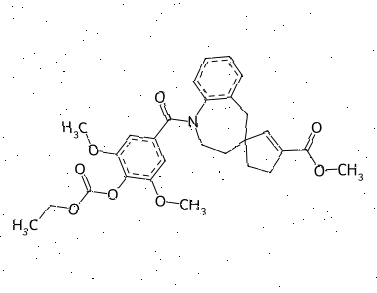 CCOC(=O)Oc1c(OC)cc(C(=O)N2CCC3(C=C(C(=O)OC)CC3)Cc3ccccc32)cc1OC